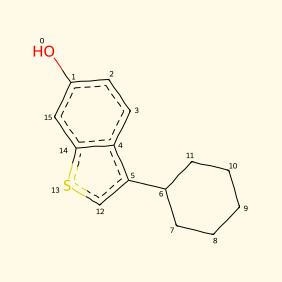 Oc1ccc2c(C3CCCCC3)csc2c1